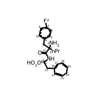 CCCC(N)(Cc1ccc(F)cc1)C(=O)N[C@H](CC1=CC=CCC=C1)C(=O)O